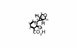 O=C(O)c1cccn(C2[C@H]3COC[C@@H]23)c1=O